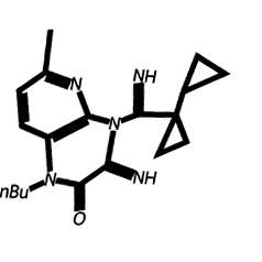 CCCCn1c(=O)c(=N)n(C(=N)C2(C3CC3)CC2)c2nc(C)ccc21